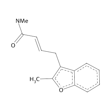 CNC(=O)C=CCc1c(C)oc2ccccc12